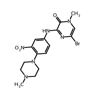 CN1CCN(c2ccc(Nc3nc(Br)cn(C)c3=O)cc2[N+](=O)[O-])CC1